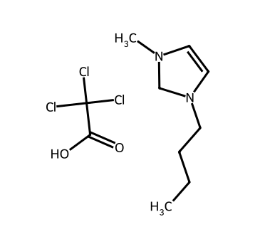 CCCCN1C=CN(C)C1.O=C(O)C(Cl)(Cl)Cl